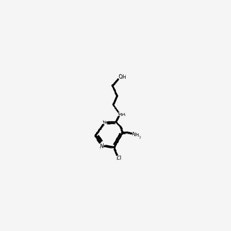 Nc1c(Cl)ncnc1NCCCO